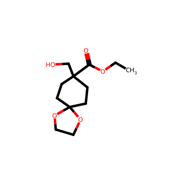 CCOC(=O)C1(CO)CCC2(CC1)OCCO2